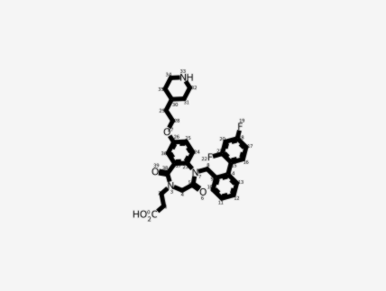 O=C(O)CCN1CC(=O)N(Cc2ccccc2-c2ccc(F)cc2F)c2ccc(OCCC3CCNCC3)cc2C1=O